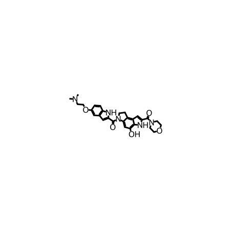 CN(C)CCOc1ccc2[nH]c(C(=O)N3CCc4c3cc(O)c3[nH]c(C(=O)N5CCOCC5)cc43)cc2c1